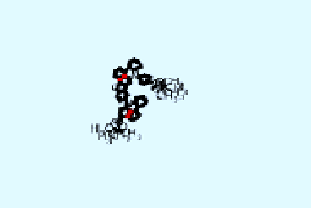 CC1(C)OB(c2ccc(N(c3ccc4oc5ccc(N(c6ccc(B7OC(C)(C)C(C)(C)O7)cc6)c6ccccc6-c6ccccc6)cc5c4c3)c3ccccc3-c3ccccc3)cc2)OC1(C)C